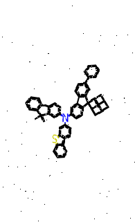 CC1(C)c2ccccc2-c2ccc(N(c3ccc4c(c3)-c3ccc(-c5ccccc5)cc3C43C4CC5CC6CC3C564)c3ccc4c(c3)sc3ccccc34)cc21